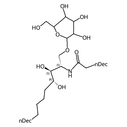 CCCCCCCCCCCCCC[C@@H](O)[C@@H](O)[C@H](COC1OC(CO)C(O)C(O)C1O)NC(=O)CCCCCCCCCCC